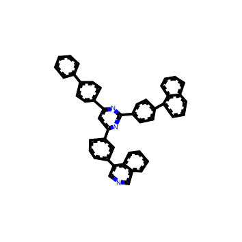 c1ccc(-c2ccc(-c3cc(-c4cccc(-c5cncc6ccccc56)c4)nc(-c4ccc(-c5cccc6ccccc56)cc4)n3)cc2)cc1